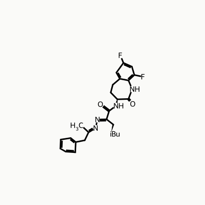 CC[C@H](C)C/C(=N\N=C(/C)Cc1ccccc1)C(=O)N[C@H]1CCc2cc(F)cc(F)c2NC1=O